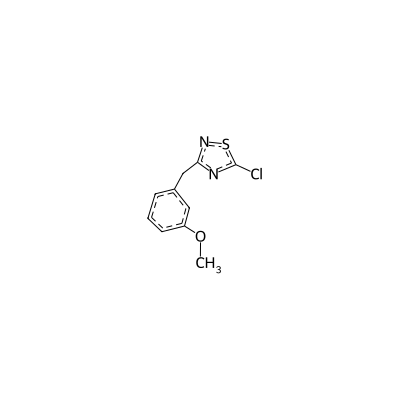 COc1cccc(Cc2nsc(Cl)n2)c1